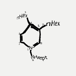 CCCCCCC[n+]1ccc(CCCCCC)c(CCCCCC)c1